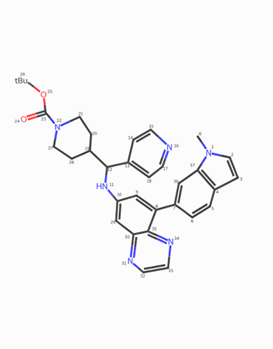 Cn1ccc2ccc(-c3cc(NC(c4ccncc4)C4CCN(C(=O)OC(C)(C)C)CC4)cc4nccnc34)cc21